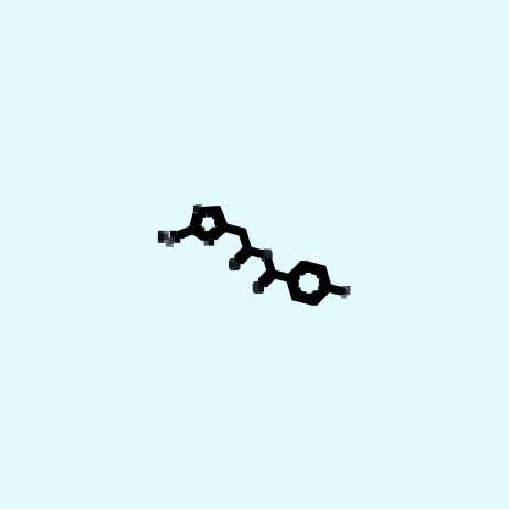 Nc1nc(CC(=O)OC(=O)c2ccc(F)cc2)cs1